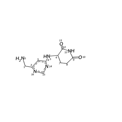 NCc1cc(NC2CCC(=O)NC2=O)ncn1